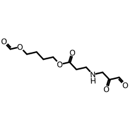 O=COCCCCOC(=O)CCNCC(=O)C=O